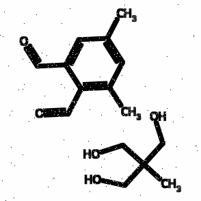 CC(CO)(CO)CO.Cc1cc(C)c(C=O)c(C=O)c1